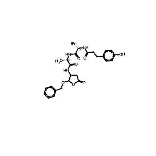 CC(C)[C@H](NC(=O)CCc1ccc(O)cc1)C(=O)N[C@@H](C)C(=O)NC1CC(=O)OC1OCc1ccccc1